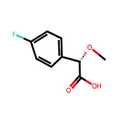 CO[C@H](C(=O)O)c1ccc(F)cc1